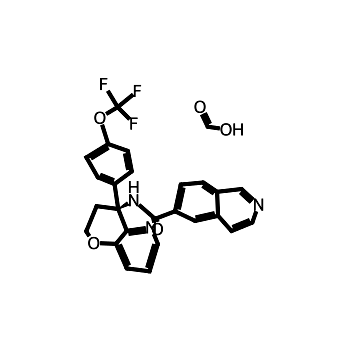 O=C(N[C@]1(c2ccc(OC(F)(F)F)cc2)CCOc2cccnc21)c1ccc2cnccc2c1.O=CO